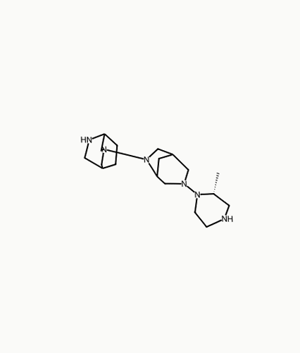 C[C@@H]1CNCCN1N1CC2CC(C1)N(N1CC3CCC(C1)NC3)C2